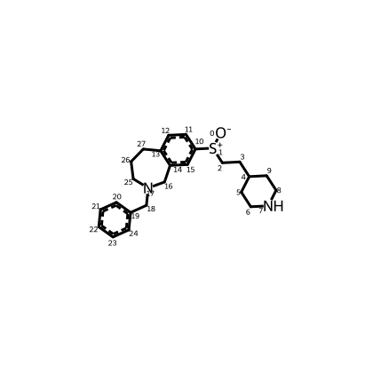 [O-][S+](CCC1CCNCC1)c1ccc2c(c1)CN(Cc1ccccc1)CCC2